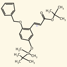 CC(C)(C)OC(=O)/C=C/c1cc(O[Si](C)(C)C(C)(C)C)ccc1OCc1ccccc1